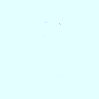 CSc1ccc(/C=N/NC(=N)NN)cc1.Cl